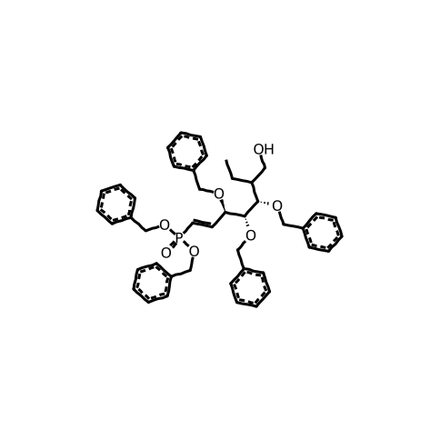 CCC(CO)[C@H](OCc1ccccc1)[C@H](OCc1ccccc1)[C@@H](/C=C/P(=O)(OCc1ccccc1)OCc1ccccc1)OCc1ccccc1